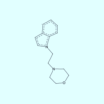 [c]1cccc2c1ccn2CCN1CCOCC1